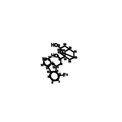 O[C@H](C[C@H]1c2c(F)cccc2-c2cncn21)C12CC3CC(CC(O)(C3)C1)C2